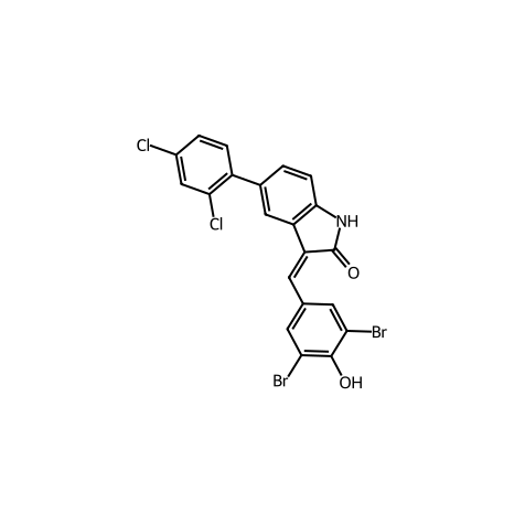 O=C1Nc2ccc(-c3ccc(Cl)cc3Cl)cc2C1=Cc1cc(Br)c(O)c(Br)c1